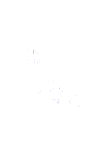 Cc1ccc2c(N3CCC[C@H](CNC(=O)OCC(C)C)C3)nc(-c3ccccc3)nc2c1